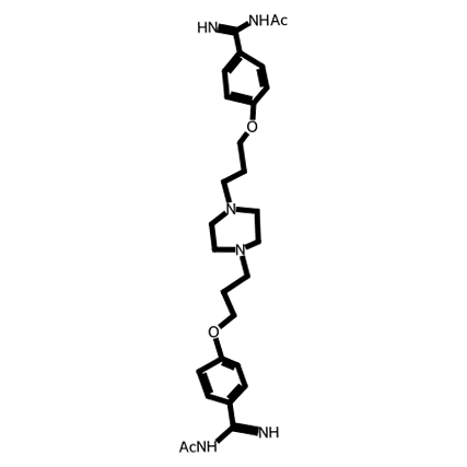 CC(=O)NC(=N)c1ccc(OCCCN2CCN(CCCOc3ccc(C(=N)NC(C)=O)cc3)CC2)cc1